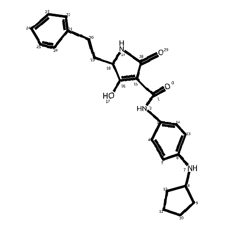 O=C(Nc1ccc(NC2CCCC2)cc1)C1=C(O)C(CCc2ccccc2)NC1=O